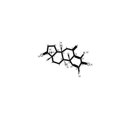 C=C1C[C@@H]2[C@H](CC[C@]3(C)C(=O)CC[C@@H]23)[C@@]2(C)C=C(F)C(=O)C(F)=C12